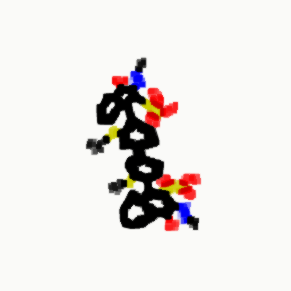 [H]/N=N/c1c(S(=O)(=O)O)c(-c2ccc(-c3ccc(-c4c(S(=O)(=O)O)c(/N=N/[H])c(O)c5ccccc45)c(SC)c3)cc2SC)c2ccccc2c1O